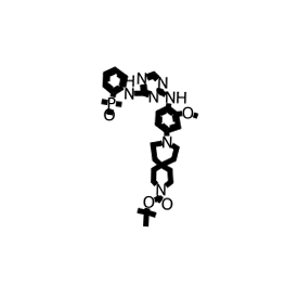 COc1cc(N2CCC3(CCN(C(=O)OC(C)(C)C)CC3)CC2)ccc1Nc1ncnc(Nc2ccccc2P(C)(C)=O)n1